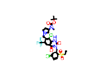 CCS(=O)(=O)c1ccc(Cl)cc1Cn1c(=O)[nH]c2c(Cl)c(CN3CCC(N(C)C(=O)OC(C)(C)C)C3)c(C(F)(F)F)cc2c1=O